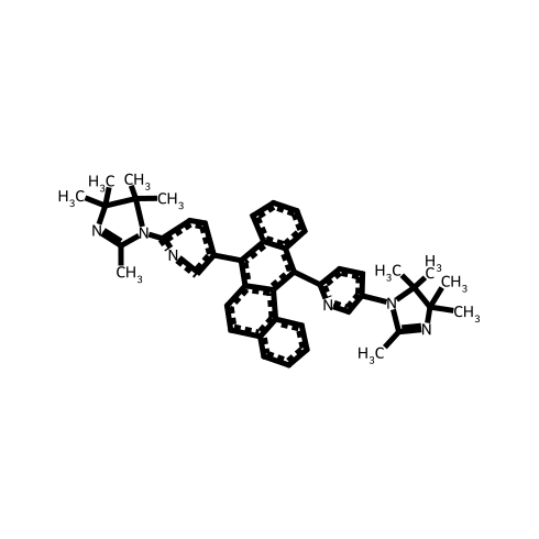 CC1=NC(C)(C)C(C)(C)N1c1ccc(-c2c3ccccc3c(-c3ccc(N4C(C)=NC(C)(C)C4(C)C)nc3)c3ccc4ccccc4c23)nc1